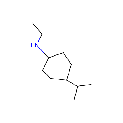 CCNC1CCC(C(C)C)CC1